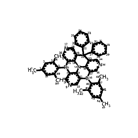 Cc1cc(C)c(B2c3cncc4c3N3c5c2cncc5C(c2ccccc2)(c2ccccc2)c2cncc(c23)B4c2c(C)cc(C)cc2C)c(C)c1